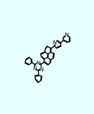 c1ccc(-c2nc(-c3ccccc3)nc(-c3ccc4ccc5c(-c6ccc(-c7cccnc7)cn6)ccc6ccc3c4c65)n2)cc1